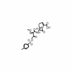 CO/N=C(/C(=O)COS(=O)(=O)c1ccc(C)cc1)C(=O)NC1C(=O)N2C(C(=O)O)=CCS[C@H]12